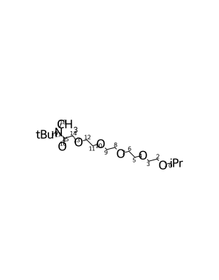 CC(C)OCCOCCOCCOCCOCC(=O)N(C)C(C)(C)C